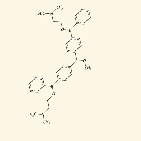 COC(c1ccc(B(OCCN(C)C)c2ccccc2)cc1)c1ccc(B(OCCN(C)C)c2ccccc2)cc1